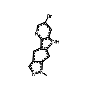 Cn1ncc2cc3c(cc21)[nH]c1cc(Br)cnc13